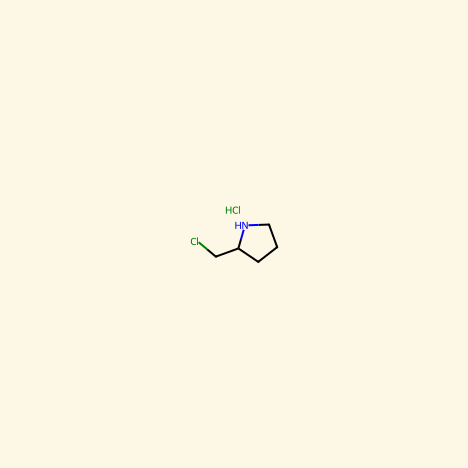 Cl.ClCC1CCCN1